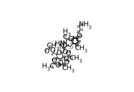 CC(=O)OC[C@H]1O[C@@H](Oc2n[nH]c(C(C)C)c2Cc2ccc(OCCCN)cc2C)[C@H](OC(C)=O)[C@@H](OC(C)=O)[C@H]1OC(C)=O